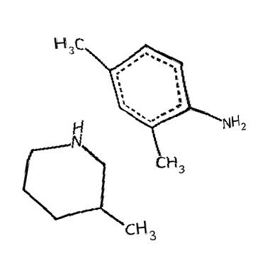 CC1CCCNC1.Cc1ccc(N)c(C)c1